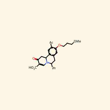 COCCCOc1cc2c(cc1C(C)=O)C1CC(=O)C(C(=O)O)=CN1C(C(C)C)C2